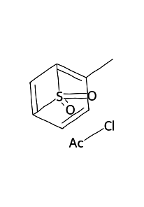 CC(=O)Cl.Cc1ccc2cc1S2(=O)=O